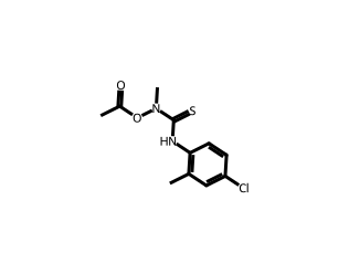 CC(=O)ON(C)C(=S)Nc1ccc(Cl)cc1C